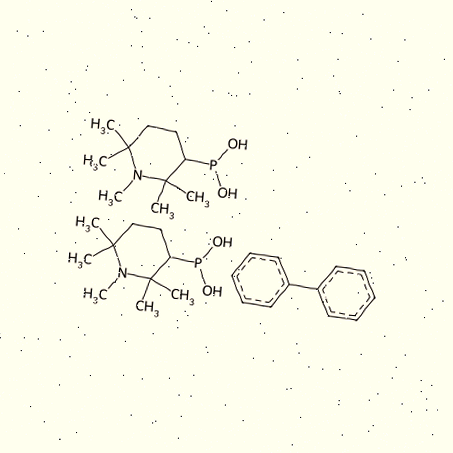 CN1C(C)(C)CCC(P(O)O)C1(C)C.CN1C(C)(C)CCC(P(O)O)C1(C)C.c1ccc(-c2ccccc2)cc1